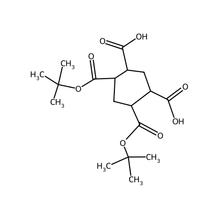 CC(C)(C)OC(=O)C1CC(C(=O)OC(C)(C)C)C(C(=O)O)CC1C(=O)O